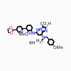 COc1ccc(CN(C)c2cc(Nc3cccc(-c4ccc(C5OCCO5)cn4)c3OC)nn3c(C(=O)O)cnc23)cc1.[KH]